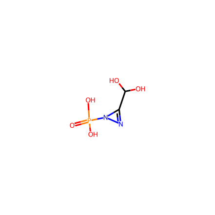 O=P(O)(O)N1N=C1C(O)O